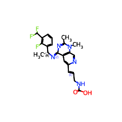 Cc1n/c(=N\[C@H](C)c2cccc(C(F)F)c2F)c2cc(/C=C/CNC(=O)O)ncc2n1C